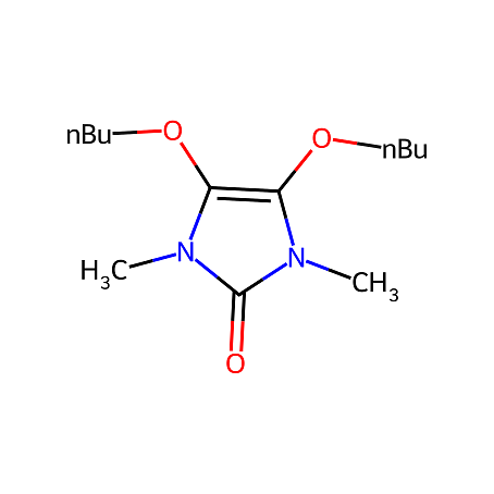 CCCCOc1c(OCCCC)n(C)c(=O)n1C